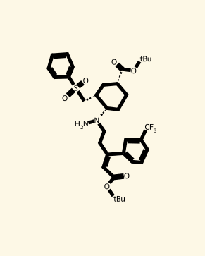 CC(C)(C)OC(=O)C=C(CCN(N)[C@H]1CC[C@@H](C(=O)OC(C)(C)C)C[C@H]1CS(=O)(=O)c1ccccc1)c1cccc(C(F)(F)F)c1